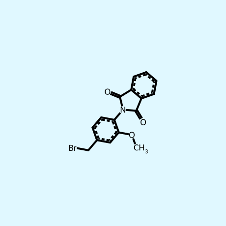 COc1cc(CBr)ccc1N1C(=O)c2ccccc2C1=O